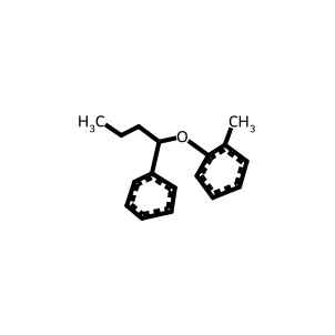 CCCC(Oc1ccccc1C)c1ccccc1